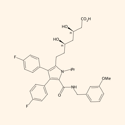 COc1cccc(CNC(=O)c2c(-c3ccc(F)cc3)c(-c3ccc(F)cc3)c(CC[C@@H](O)C[C@@H](O)CC(=O)O)n2C(C)C)c1